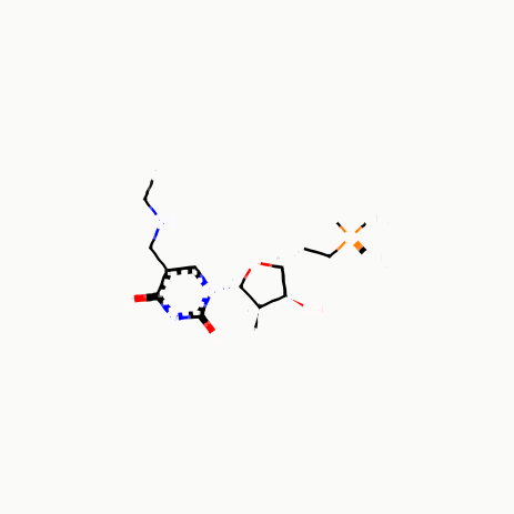 C=P(C)(C)CC[C@H]1O[C@@H](n2cc(CNCC(C)=O)c(=O)[nH]c2=O)[C@H](C)[C@@H]1O